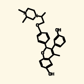 CC1=C(c2cccc(O)c2)C(c2ccc(OCC(C)N3CCN(C)C(C)C3)cc2)Oc2ccc(O)cc21